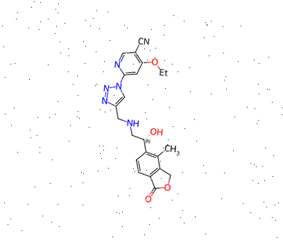 CCOc1cc(-n2cc(CNC[C@H](O)c3ccc4c(c3C)COC4=O)nn2)ncc1C#N